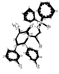 CCC(CO[Si](c1ccccc1)(c1ccccc1)C(C)(C)C)N1C(=O)C(C)C[C@H](c2cccc(Cl)c2)[C@H]1c1ccc(Cl)cc1